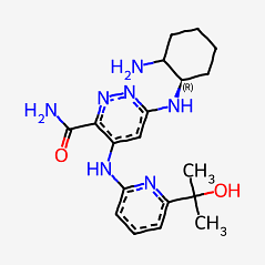 CC(C)(O)c1cccc(Nc2cc(N[C@@H]3CCCCC3N)nnc2C(N)=O)n1